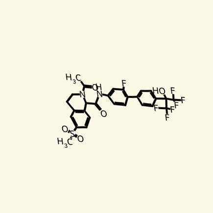 CC(=O)N1CCc2cc(S(C)(=O)=O)ccc2C1C(=O)Nc1ccc(-c2ccc(C(O)(C(F)(F)F)C(F)(F)F)cc2)c(F)c1